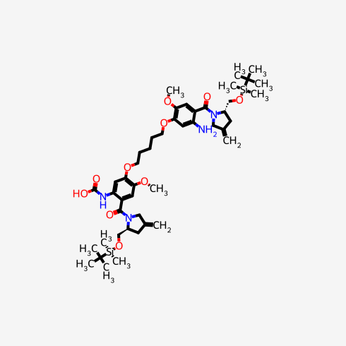 C=C1C[C@@H](CO[Si](C)(C)C(C)(C)C)N(C(=O)c2cc(OC)c(OCCCCCOc3cc(NC(=O)O)c(C(=O)N4CC(=C)C[C@H]4CO[Si](C)(C)C(C)(C)C)cc3OC)cc2N)C1